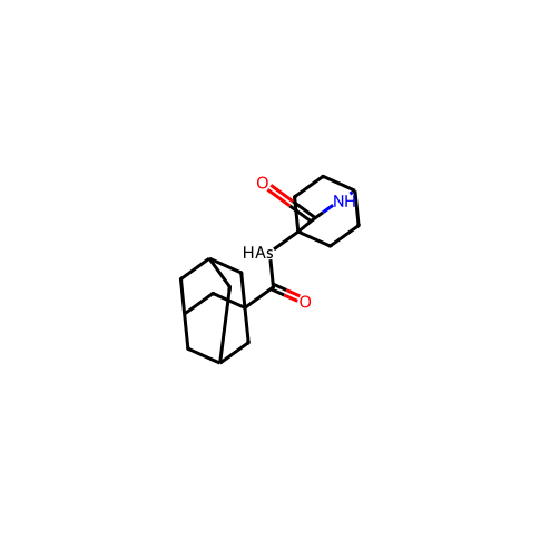 O=C([AsH]C12CCC(CC1)NC2=O)C12CC3CC(CC(C3)C1)C2